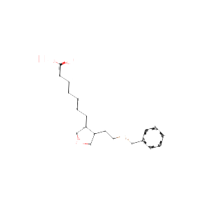 O=C(O)CCCCCCC1COCC1CCSCc1ccccc1